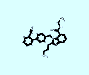 CCCCc1nc2cccc(C(=O)OCC)c2n1Cc1ccc(-c2ccccc2C#N)cc1